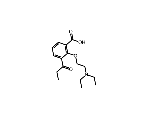 CCC(=O)c1cccc(C(=O)O)c1OCCN(CC)CC